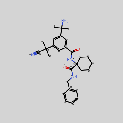 CC(C)(N)c1cc(C(=O)NC2(C(=O)NCc3ccccc3)CCCCC2)cc(C(C)(C)C#N)c1